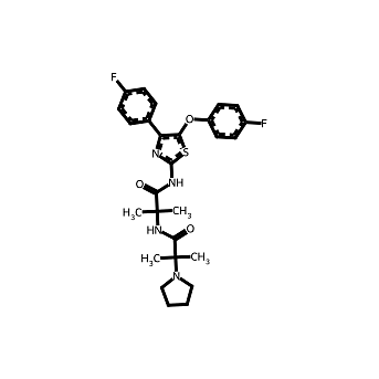 CC(C)(NC(=O)C(C)(C)N1CCCC1)C(=O)Nc1nc(-c2ccc(F)cc2)c(Oc2ccc(F)cc2)s1